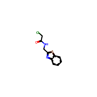 O=C(CCl)NCc1nc2ccccc2s1